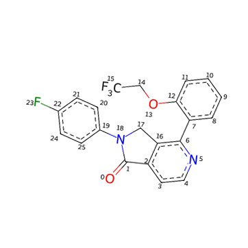 O=C1c2ccnc(-c3ccccc3OCC(F)(F)F)c2CN1c1ccc(F)cc1